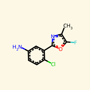 Cc1nc(-c2cc(N)ccc2Cl)oc1F